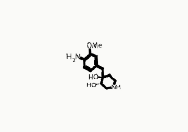 COc1cc(C[C@]2(O)CCNC[C@@H]2O)ccc1N